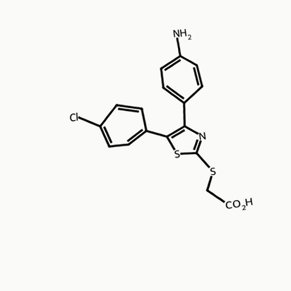 Nc1ccc(-c2nc(SCC(=O)O)sc2-c2ccc(Cl)cc2)cc1